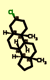 C[C@@]12CCC[C@H]1[C@@H]1CC[C@H]3C[C@@H](Cl)CC[C@]3(C)[C@H]1CC2